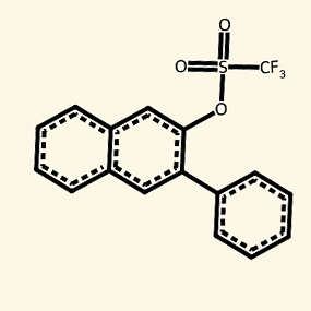 O=S(=O)(Oc1cc2ccccc2cc1-c1ccccc1)C(F)(F)F